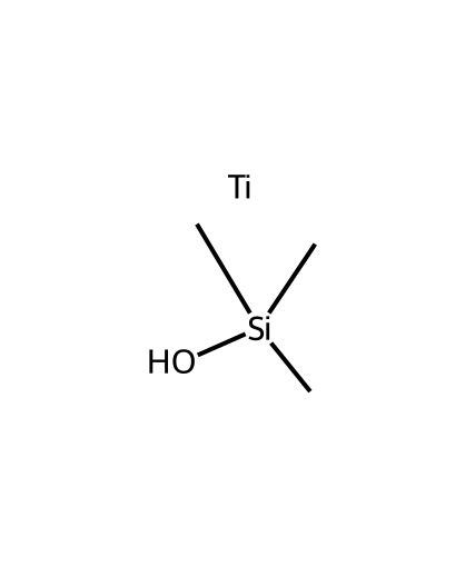 C[Si](C)(C)O.[Ti]